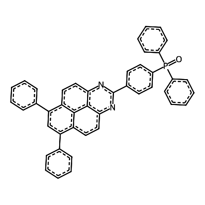 O=P(c1ccccc1)(c1ccccc1)c1ccc(-c2nc3ccc4c(-c5ccccc5)cc(-c5ccccc5)c5ccc(n2)c3c45)cc1